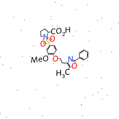 COc1cc(S(=O)(=O)N2CCCC2C(=O)O)ccc1OCCc1nc(-c2ccccc2)oc1C